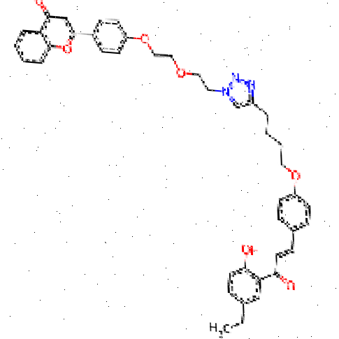 CCc1ccc(O)c(C(=O)C=Cc2ccc(OCCCCc3cn(CCOCCOc4ccc(-c5cc(=O)c6ccccc6o5)cc4)nn3)cc2)c1